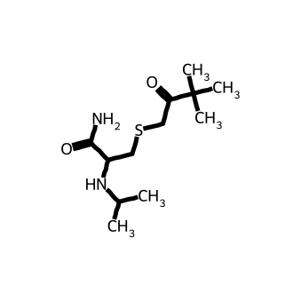 CC(C)NC(CSCC(=O)C(C)(C)C)C(N)=O